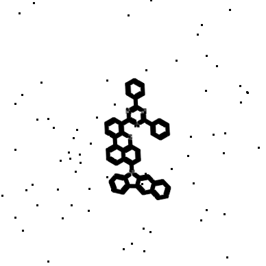 c1ccc(-c2nc(-c3ccccc3)nc(-c3cccc4c3Sc3ccc(-n5c6ccccc6c6cc7ccccc7cc65)c5cccc-4c35)n2)cc1